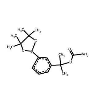 CC(C)(OC(N)=O)c1cccc(B2OC(C)(C)C(C)(C)O2)c1